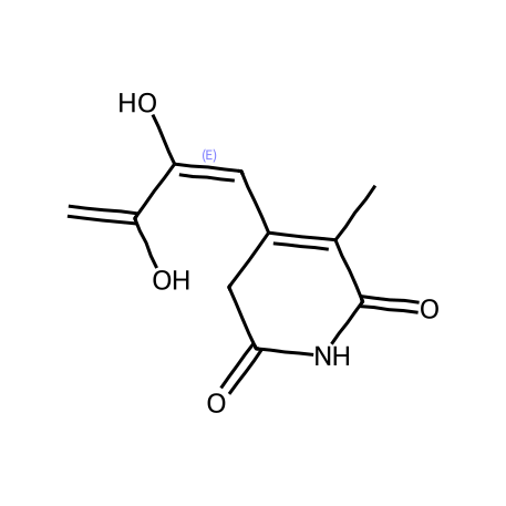 C=C(O)/C(O)=C\C1=C(C)C(=O)NC(=O)C1